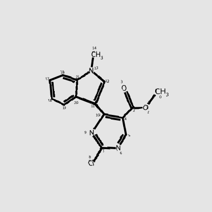 COC(=O)c1cnc(Cl)nc1-c1cn(C)c2ccccc12